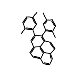 Cc1ccc(C)c(-c2cc3ccc4cccc5ccc(c2-c2cc(C)ccc2C)c3c45)c1